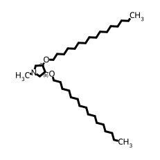 CCCCCCCCCCCCCCCCO[C@@H]1CN(C)C[C@H]1OCCCCCCCCCCCCCCCC